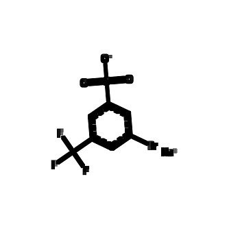 O=S(=O)([O-])c1cc(Br)cc(C(F)(F)F)c1.[Na+]